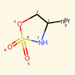 CCCC1COS(=O)(=O)N1